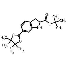 CC(C)(C)OC(=O)C1Cc2ccc(B3OC(C)(C)C(C)(C)O3)cc2N1